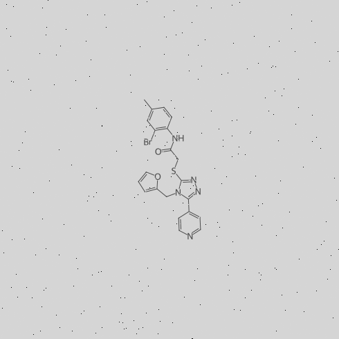 Cc1ccc(NC(=O)CSc2nnc(-c3ccncc3)n2Cc2ccco2)c(Br)c1